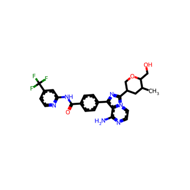 CC1CC(c2nc(-c3ccc(C(=O)Nc4cc(C(F)(F)F)ccn4)cc3)c3c(N)nccn23)COC1CO